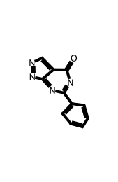 O=C1N=C(c2ccccc2)N=C2N=NC=C12